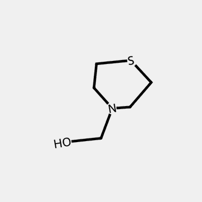 OCN1CCSCC1